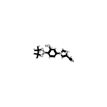 CC1(C)OB(c2ccc(-n3cnc(C#N)c3)cc2O)OC1(C)C